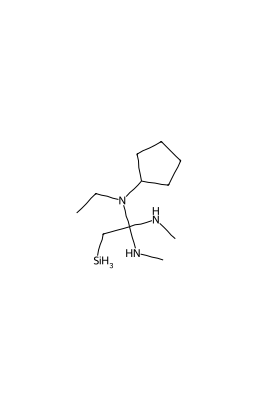 CCN(C1CCCC1)C(C[SiH3])(NC)NC